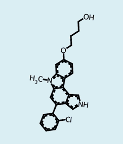 Cn1c2cc(OCCCCO)ccc2c2c3c[nH]cc3c(-c3ccccc3Cl)cc21